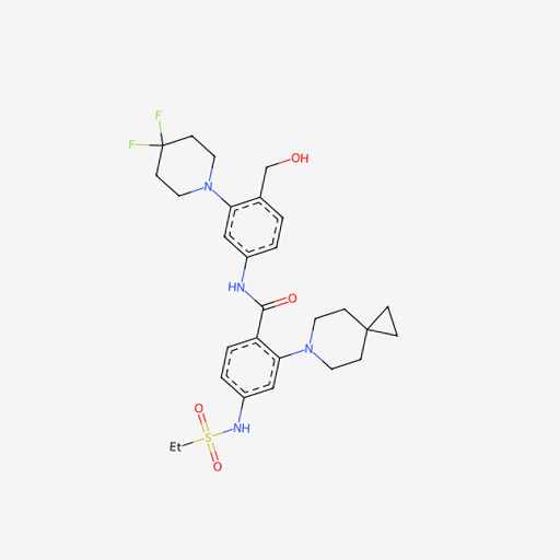 CCS(=O)(=O)Nc1ccc(C(=O)Nc2ccc(CO)c(N3CCC(F)(F)CC3)c2)c(N2CCC3(CC2)CC3)c1